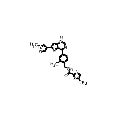 Cc1cc(-c2nc[nH]c3cc(-c4cnn(C)c4)nc2-3)ccc1CNC(=O)c1ncc(C(C)(C)C)s1